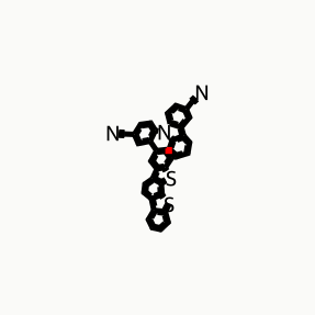 N#Cc1ccc(-n2c3ccccc3c3cc(C#N)ccc32)c(-c2ccc3sc4c(ccc5c6ccccc6sc54)c3c2)c1